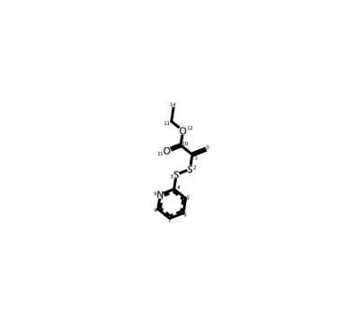 C=C(SSc1ccccn1)C(=O)OCC